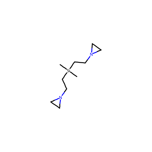 C[Si](C)(CCN1CC1)CCN1CC1